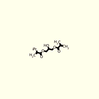 C=C(C)C(=O)OCC(O)COC(=O)C(=C)C(C)C